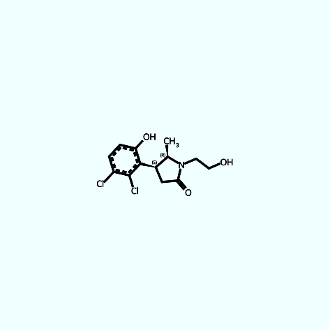 C[C@@H]1[C@H](c2c(O)ccc(Cl)c2Cl)CC(=O)N1CCO